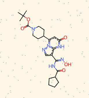 CC(C)(C)OC(=O)N1CCC(c2cc(=O)[nH]c3c(C(=NO)NC(=O)C4CCCC4)cnn23)CC1